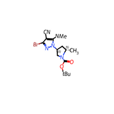 CNc1c(C#N)c(Br)nn1[C@H]1C[C@H](C)N(C(=O)OC(C)(C)C)C1